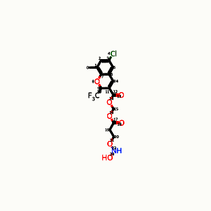 Cc1cc(Cl)cc2c1OC(C(F)(F)F)C(C(=O)OCOC(=O)CCONO)=C2